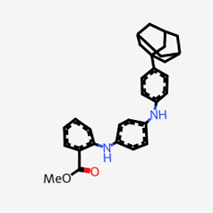 COC(=O)c1ccccc1Nc1ccc(Nc2ccc(C34CC5CC(CC(C5)C3)C4)cc2)cc1